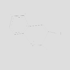 CC1=Cc2ccccc2NC1O